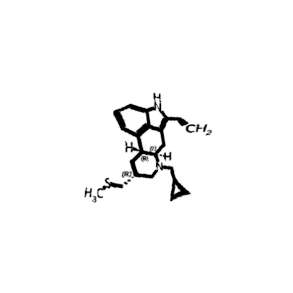 C=Cc1[nH]c2cccc3c2c1C[C@@H]1[C@@H]3C[C@@H](CSC)CN1CC1CC1